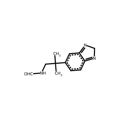 CC(C)(CNC=O)c1ccc2c(c1)=NCN=2